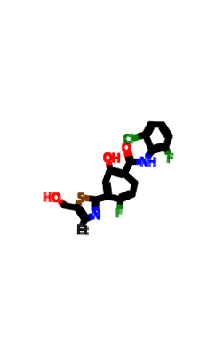 CCc1nc(C2=CC(O)=C(C(=O)Nc3c(F)cccc3Cl)CC=C2F)sc1CO